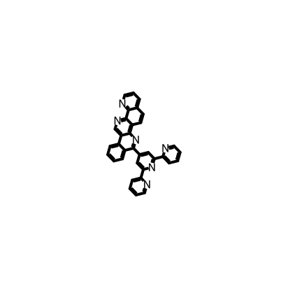 c1ccc(-c2cc(-c3nc4c(cnc5c4ccc4cccnc45)c4ccccc34)cc(-c3ccccn3)n2)nc1